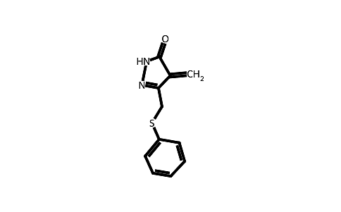 C=C1C(=O)NN=C1CSc1ccccc1